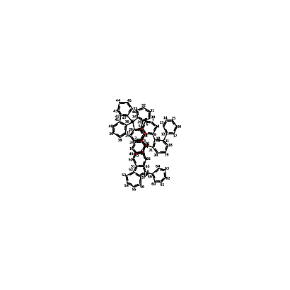 c1ccc(-c2ccccc2-c2c(-c3ccccc3)cccc2N(c2ccc3c(c2)-c2ccccc2C32c3ccccc3-c3ccccc32)c2ccc3c4ccccc4n(-c4ccccc4)c3c2)cc1